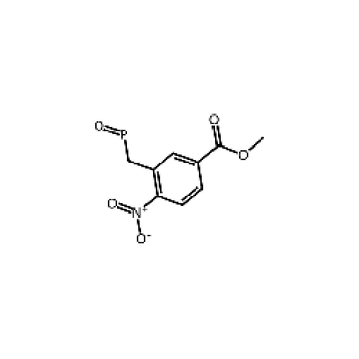 COC(=O)c1ccc([N+](=O)[O-])c(CP=O)c1